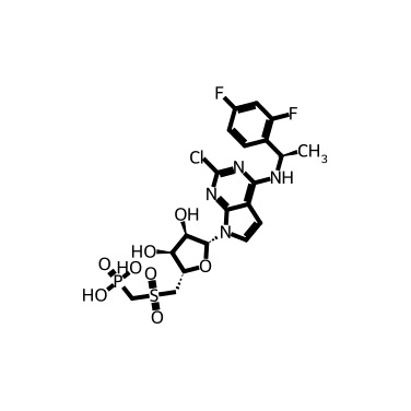 C[C@@H](Nc1nc(Cl)nc2c1ccn2[C@@H]1O[C@H](CS(=O)(=O)CP(=O)(O)O)[C@@H](O)[C@H]1O)c1ccc(F)cc1F